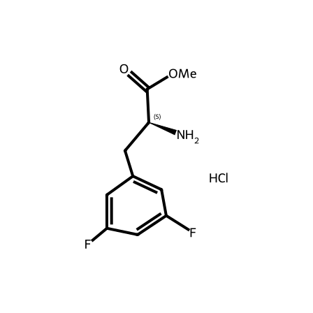 COC(=O)[C@@H](N)Cc1cc(F)cc(F)c1.Cl